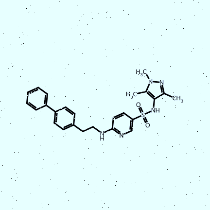 Cc1nn(C)c(C)c1NS(=O)(=O)c1ccc(NCCc2ccc(-c3ccccc3)cc2)nc1